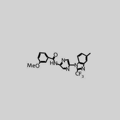 COc1cccc(C(=O)Nc2cnc(-n3c(C(F)(F)F)nc4cc(C)ccc43)cn2)c1